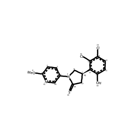 COc1ccc(N2C[C@@H](c3c(O)ccc(Cl)c3Cl)CC2=S)cn1